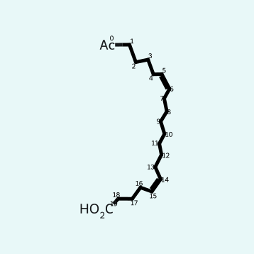 CC(=O)CCCC/C=C\CCCCCCC/C=C\CCCC(=O)O